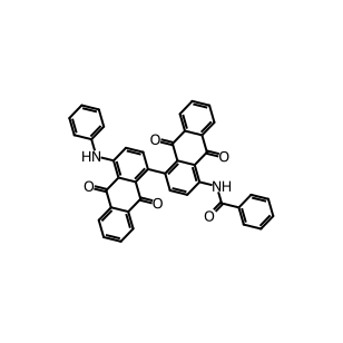 O=C(Nc1ccc(-c2ccc(Nc3ccccc3)c3c2C(=O)c2ccccc2C3=O)c2c1C(=O)c1ccccc1C2=O)c1ccccc1